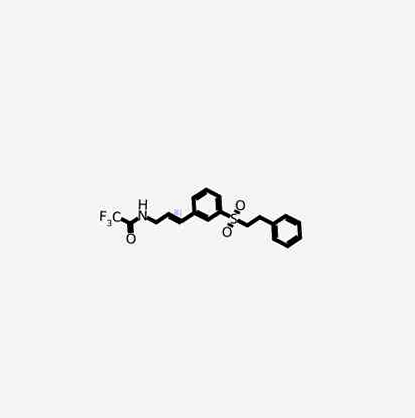 O=C(NC/C=C/c1cccc(S(=O)(=O)CCc2ccccc2)c1)C(F)(F)F